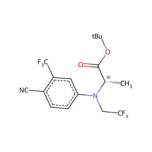 C[C@@H](C(=O)OC(C)(C)C)N(CC(F)(F)F)c1ccc(C#N)c(C(F)(F)F)c1